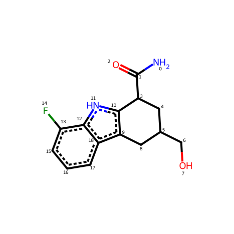 NC(=O)C1CC(CO)Cc2c1[nH]c1c(F)cccc21